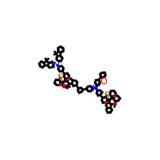 CC1(C)c2ccccc2-c2ccc(N(c3ccc(-c4cccc5c4Sc4ccccc4C54c5ccccc5C(C)(C)c5c4ccc4ccc(-c6cccc(-c7ccc(N(c8ccc(-c9cccc%10c9Sc9ccccc9C%109c%10ccccc%10C(C)(C)c%10c9ccc9ccccc%109)cc8)c8ccc9c(c8)oc8ccccc89)cc7)c6)cc54)cc3)c3ccc4c(c3)C(C)(C)c3ccccc3-4)cc21